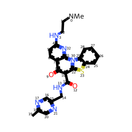 CNCCNc1ccc2c(=O)c(C(=O)NCc3cnc(C)cn3)c3sc4ccccc4n3c2n1